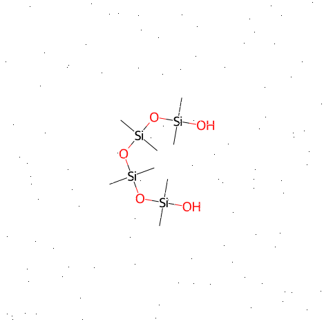 C[Si](C)(O)O[Si](C)(C)O[Si](C)(C)O[Si](C)(C)O